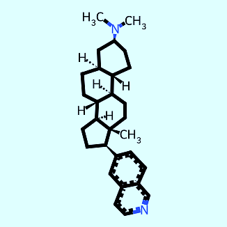 CN(C)[C@H]1CC[C@H]2[C@@H](CC[C@@H]3[C@@H]2CC[C@]2(C)[C@@H](c4ccc5cnccc5c4)CC[C@@H]32)C1